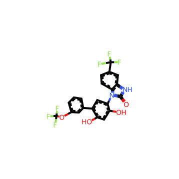 O=c1[nH]c2cc(C(F)(F)F)ccc2n1-c1cc(-c2cccc(OC(F)(F)F)c2)c(O)cc1O